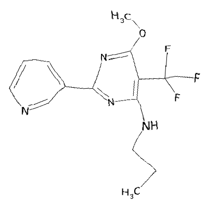 CCCNc1nc(-c2cccnc2)nc(OC)c1C(F)(F)F